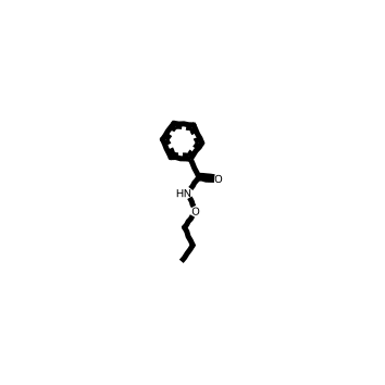 CCCONC(=O)c1ccccc1